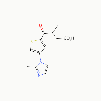 Cc1nccn1-c1csc(C(=O)C(C)CC(=O)O)c1